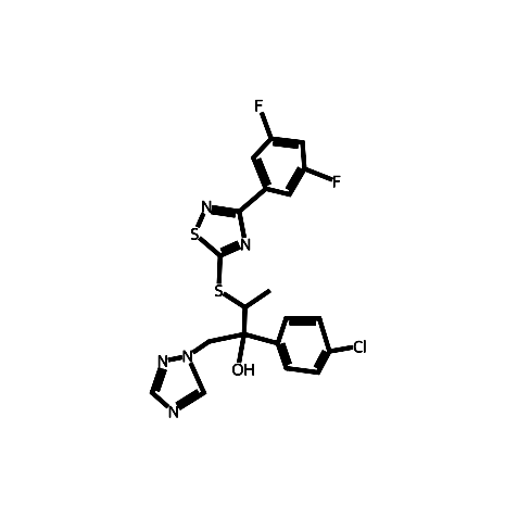 CC(Sc1nc(-c2cc(F)cc(F)c2)ns1)C(O)(Cn1cncn1)c1ccc(Cl)cc1